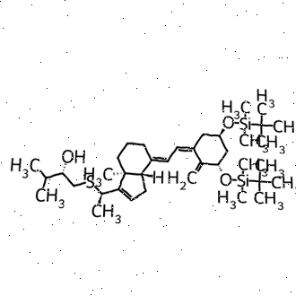 C=C1C(=CC=C2CCC[C@]3(C)C([C@@H](C)SC[C@@H](O)C(C)C)=CC[C@@H]23)C[C@@H](O[Si](C)(C)C(C)(C)C)C[C@@H]1O[Si](C)(C)C(C)(C)C